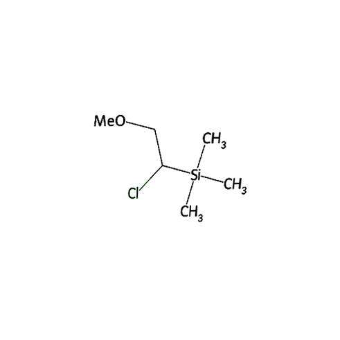 COCC(Cl)[Si](C)(C)C